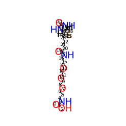 O=C(O)NCCCOCCOCCOCCCNC(=O)CCCC[C@@H]1SC[C@@H]2NC(=O)N[C@@H]21